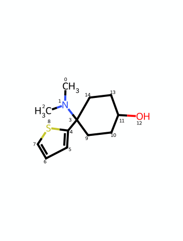 CN(C)C1(c2cccs2)CCC(O)CC1